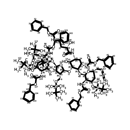 CC(C)(C)[Si](C)(C)OC[C@H]1[C@H](O[C@@H]2[C@@H](O)[C@H](NC(=O)[C@@H](O)CCNC(=O)OCc3ccccc3)C[C@H](NC(=O)OCc3ccccc3)[C@H]2O[C@H]2O[C@H](CN=[N+]=[N-])C[C@H](O[Si](C)(C)C(C)(C)C)[C@H]2NC(=O)OCc2ccccc2)O[C@H](O[Si](C)(C)C(C)(C)C)[C@H]1O[C@H]1O[C@@H](CNC(=O)OCc2ccccc2)[C@@H](O[Si](C)(C)C(C)(C)C)[C@H](O[Si](C)(C)C(C)(C)C)[C@H]1NC(=O)OCc1ccccc1